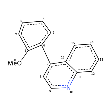 COc1ccccc1-c1ccnc2ccccc12